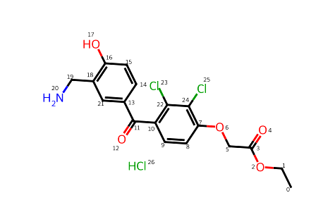 CCOC(=O)COc1ccc(C(=O)c2ccc(O)c(CN)c2)c(Cl)c1Cl.Cl